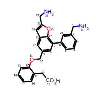 NCc1cccc(-c2cc(COc3ccccc3CC(=O)O)cc3cc(CN)oc23)c1